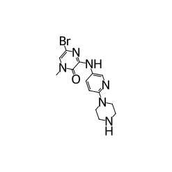 Cn1cc(Br)nc(Nc2ccc(N3CCNCC3)nc2)c1=O